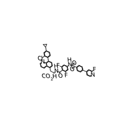 O=C(NC(Cc1ccc(-c2ccc(C3CC3)cc2Cl)c2ncccc12)C(=O)O)c1c(F)cc(NS(=O)(=O)c2ccc(-c3ccnc(F)c3)cc2)cc1F